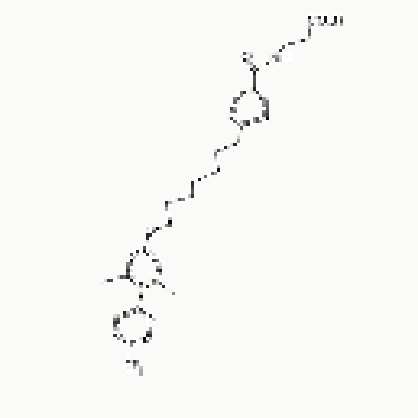 Cc1cc(OCCCCCCCc2ccc(C(=O)NCCC(=O)O)cc2)cc(C)c1-c1ccc(C(F)(F)F)cc1